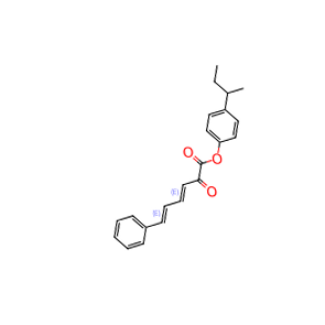 CCC(C)c1ccc(OC(=O)C(=O)/C=C/C=C/c2ccccc2)cc1